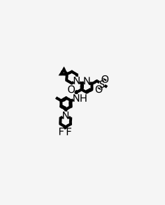 Cc1cc(NC(=O)c2ccc(CS(C)(=O)=O)nc2N2CCC3(CC2)CC3)cc(N2CCC(F)(F)CC2)c1